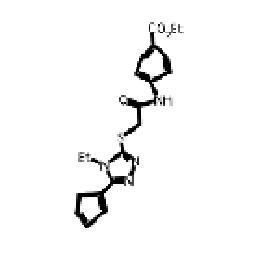 CCOC(=O)c1ccc(NC(=O)CSc2nnc(C3=CC=CC3)n2CC)cc1